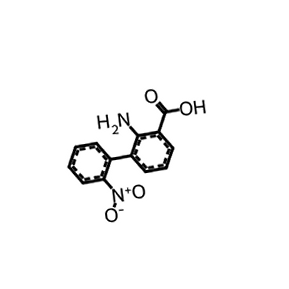 Nc1c(C(=O)O)cccc1-c1ccccc1[N+](=O)[O-]